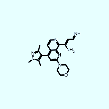 Cc1nn(C)c(C)c1-c1cc(N2CCOCC2)nc2c(/C(N)=C/C=N)nccc12